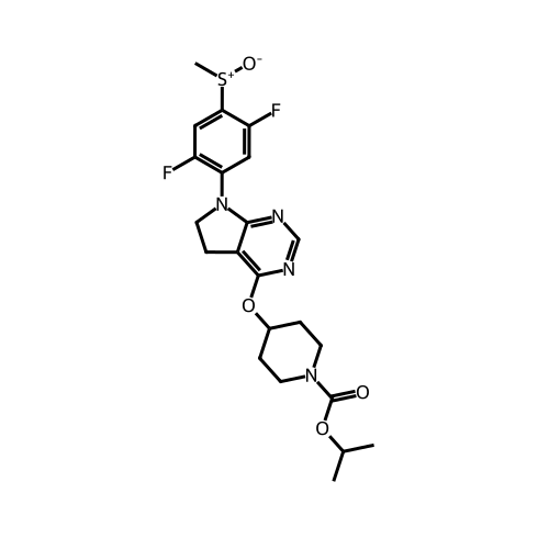 CC(C)OC(=O)N1CCC(Oc2ncnc3c2CCN3c2cc(F)c([S+](C)[O-])cc2F)CC1